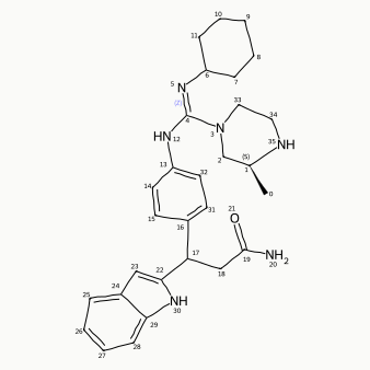 C[C@H]1CN(/C(=N\C2CCCCC2)Nc2ccc(C(CC(N)=O)c3cc4ccccc4[nH]3)cc2)CCN1